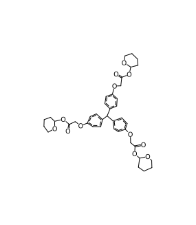 O=C(COc1ccc(C(c2ccc(OCC(=O)OC3CCCCO3)cc2)c2ccc(OCC(=O)OC3CCCCO3)cc2)cc1)OC1CCCCO1